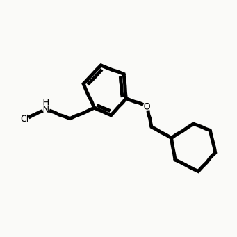 ClNCc1cccc(OCC2CCCCC2)c1